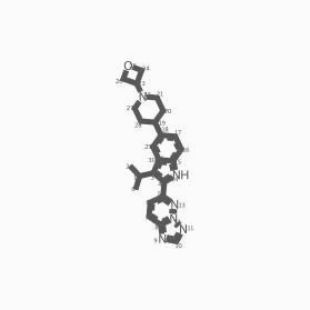 CC(C)c1c(-c2ccc3ncnn3n2)[nH]c2ccc(C3CCN(C4COC4)CC3)cc12